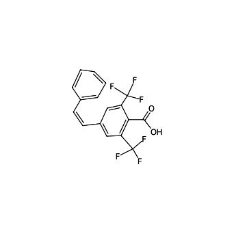 O=C(O)c1c(C(F)(F)F)cc(/C=C\c2ccccc2)cc1C(F)(F)F